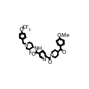 COc1ccc(C(=O)C2CCN(C(=O)c3ccc(C(=O)N[C@H]4CCN(Cc5ccc(OC(F)(F)F)cc5)C[C@H]4F)cn3)CC2)cc1